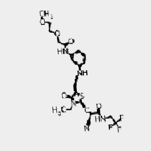 CCn1c(=C=C(C#N)C(=O)NCC(F)(F)F)sc(=C=CNc2cccc(NC(=O)COCCOC)c2)c1=O